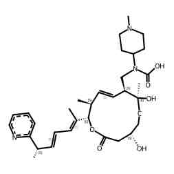 C/C(=C\C=C\[C@H](C)c1ccccn1)[C@H]1OC(=O)C[C@@H](O)CC[C@](C)(O)[C@H](CN(C(=O)O)C2CCN(C)CC2)/C=C/[C@@H]1C